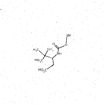 CC(C)(C)OC(=O)NC(CC(=O)O)C(C)(C)C(=O)O